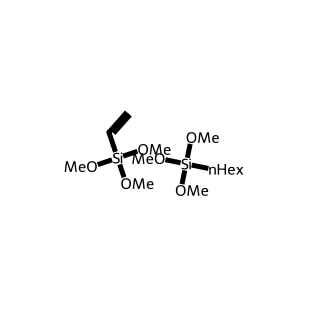 C=C[Si](OC)(OC)OC.CCCCCC[Si](OC)(OC)OC